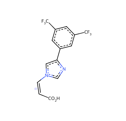 O=C(O)/C=C\n1cnc(-c2cc(C(F)(F)F)cc(C(F)(F)F)c2)c1